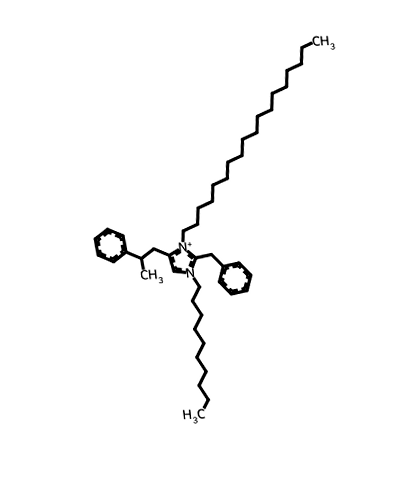 CCCCCCCCCCCCCCCCCC[n+]1c(CC(C)c2ccccc2)cn(CCCCCCCCCC)c1Cc1ccccc1